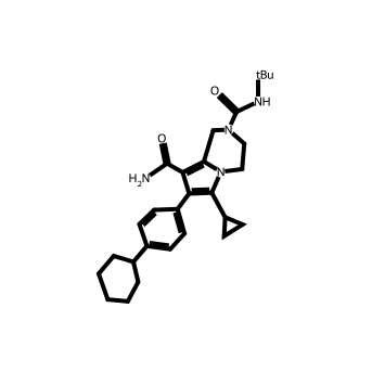 CC(C)(C)NC(=O)N1CCn2c(c(C(N)=O)c(-c3ccc(C4CCCCC4)cc3)c2C2CC2)C1